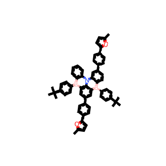 Cc1ccc(-c2ccc(-c3cc4c5c(c3)B(c3ccc(C(C)(C)C)cc3)c3ccc(-c6ccc(-c7ccc(C)o7)cc6)cc3N5c3ccccc3B4c3ccc(C(C)(C)C)cc3)cc2)o1